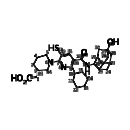 O=C(O)C[C@@H]1CCCN(c2nc(C3CCCCC3)c(C(=O)NC3C4CC5CC3CC(O)(C5)C4)cc2S)C1